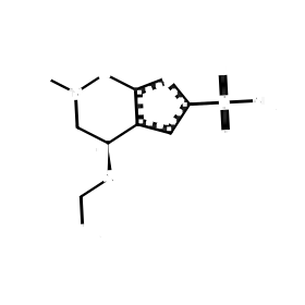 CCN[C@H]1CN(C)Sc2sc(S(N)(=O)=O)cc21